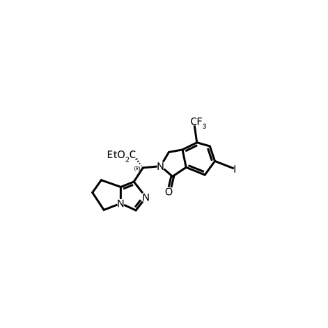 CCOC(=O)[C@@H](c1ncn2c1CCC2)N1Cc2c(cc(I)cc2C(F)(F)F)C1=O